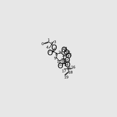 C=CC(C)(C)OC(=O)C1CCC2(C(=O)OC(C)(C)C=C)OOC23OOC13